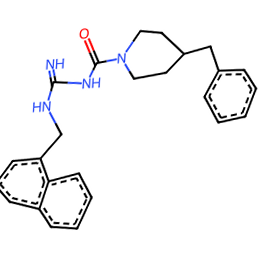 N=C(NCc1cccc2ccccc12)NC(=O)N1CCC(Cc2ccccc2)CC1